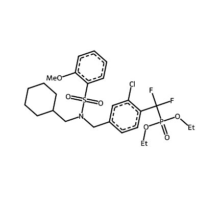 CCOP(=O)(OCC)C(F)(F)c1ccc(CN(CC2CCCCC2)S(=O)(=O)c2ccccc2OC)cc1Cl